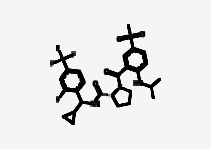 CC(C)Nc1ccc(S(C)(=O)=O)cc1C(=O)N1CCC[C@@H]1C(=O)NC(c1ccc(C(F)(F)F)cc1F)C1CC1